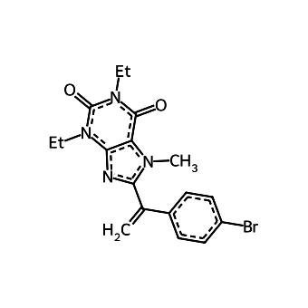 C=C(c1ccc(Br)cc1)c1nc2c(c(=O)n(CC)c(=O)n2CC)n1C